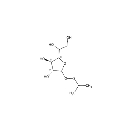 CC(C)SOC1O[C@@H](C(O)CO)[C@H](O)[C@H]1O